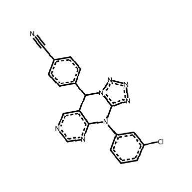 N#Cc1ccc(C2c3cncnc3N(c3cccc(Cl)c3)c3nnnn32)cc1